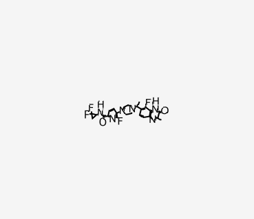 Cc1nc2ccc(C(C)N3CCN(c4ccc(C(=O)NC5CC5(F)F)nc4F)CC3)c(F)c2[nH]c1=O